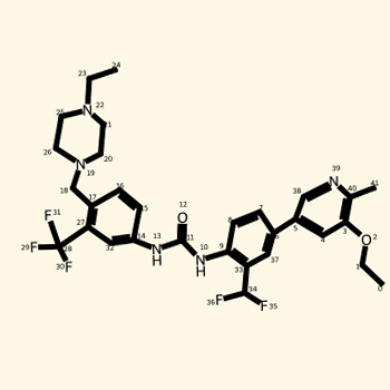 CCOc1cc(-c2ccc(NC(=O)Nc3ccc(CN4CCN(CC)CC4)c(C(F)(F)F)c3)c(C(F)F)c2)cnc1C